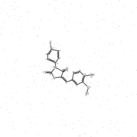 CCOc1cc(C=C2SC(=S)N(c3ccc(F)cc3)C2=O)ccc1O